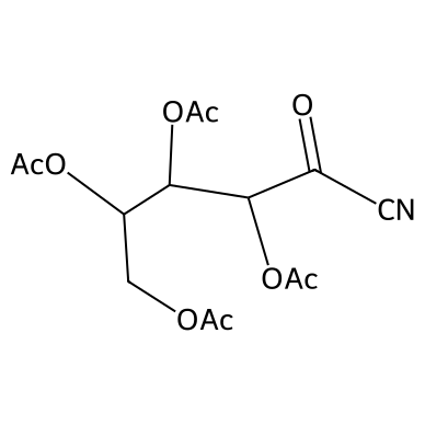 CC(=O)OCC(OC(C)=O)C(OC(C)=O)C(OC(C)=O)C(=O)C#N